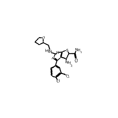 NC(=O)C1Sc2nc(NCC3CCCO3)nc(-c3ccc(Cl)c(Cl)c3)c2C1N